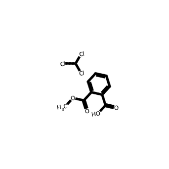 COC(=O)c1ccccc1C(=O)O.ClC(Cl)Cl